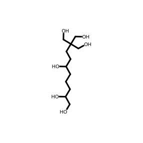 OCC(O)CCCC(O)CCC(CO)(CO)CO